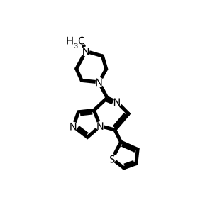 CN1CCN(c2ncc(-c3cccs3)n3cncc23)CC1